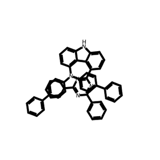 C1=CCC(c2nc(-c3ccccc3)nc(-c3cccc4[nH]c5cccc(N(c6ccc(-c7ccccc7)cc6)c6ccc(-c7ccccc7)cc6)c5c34)n2)C=C1